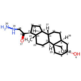 COC[C@]12CC[C@@H](O)C[C@@H]1CC[C@H]1[C@@H]3CC[C@H](C(=O)CNN)[C@@]3(C)CC[C@@H]12